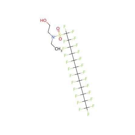 CCN(CCO)S(=O)(=O)C(F)(F)C(F)(F)C(F)(F)C(F)(F)C(F)(F)C(F)(F)C(F)(F)C(F)(F)C(F)(F)C(F)(F)C(F)(F)C(F)(F)F